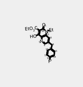 CCOC(=O)c1c(O)c2ncc(Cc3ccc(F)cc3)cc2n(CC)c1=O